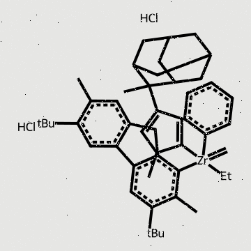 Cl.Cl.[CH2]=[Zr]([CH2]C)([C]1=CC(C2(C)C3CC4CC(C3)CC2C4)=CC1C)([c]1ccccc1)[c]1c(C)c(C(C)(C)C)cc2c1Cc1cc(C)c(C(C)(C)C)cc1-2